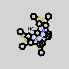 N#Cc1c(-c2ccc3sc4ccccc4c3c2)c(-n2c3ccccc3c3cc4c(cc32)sc2ccccc24)c(-n2c3ccccc3c3cc4c(cc32)sc2ccccc24)c(-n2c3ccccc3c3cc4c(cc32)sc2ccccc24)c1-c1ccc2sc3ccccc3c2c1